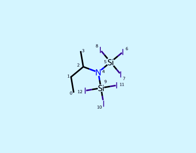 CCC(C)N([Si](I)(I)I)[Si](I)(I)I